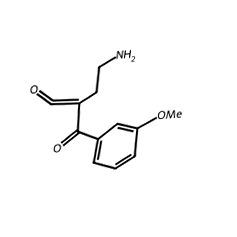 COc1cccc(C(=O)C(=C=O)CCN)c1